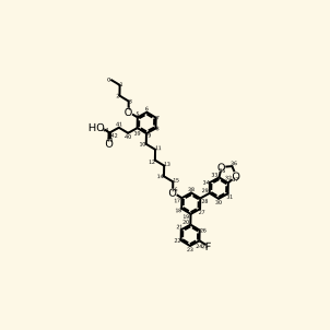 CCCCOc1cccc(CCCCCCOc2cc(-c3cccc(F)c3)cc(-c3ccc4c(c3)OCO4)c2)c1CCC(=O)O